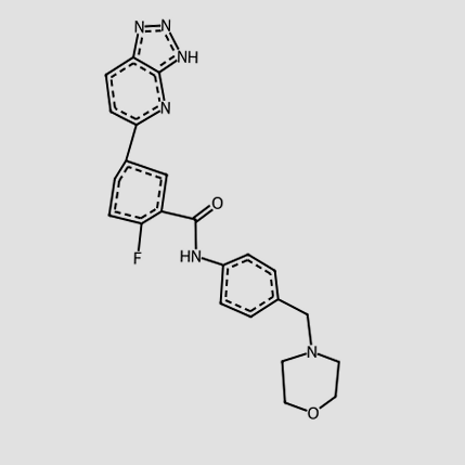 O=C(Nc1ccc(CN2CCOCC2)cc1)c1cc(-c2ccc3nn[nH]c3n2)ccc1F